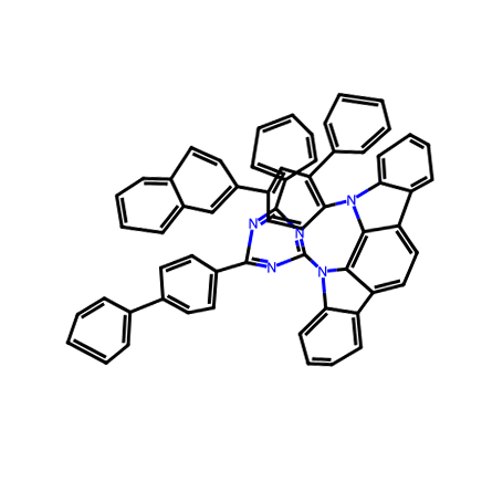 c1ccc(-c2ccc(-c3nc(-c4ccccc4)nc(-n4c5ccccc5c5ccc6c7ccccc7n(-c7ccc(-c8ccc9ccccc9c8)cc7-c7ccccc7)c6c54)n3)cc2)cc1